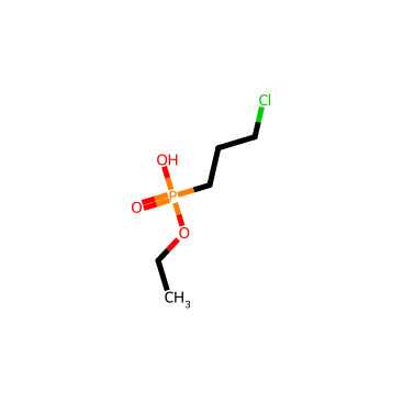 CCOP(=O)(O)CCCCl